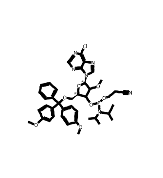 COc1ccc(C(OC[C@H]2O[C@@H](n3cnc4c(Cl)ncnc43)C(OC)C2OP(OCCC#N)N(C(C)C)C(C)C)(c2ccccc2)c2ccc(OC)cc2)cc1